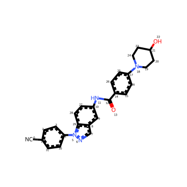 N#Cc1ccc(-n2ncc3cc(NC(=O)c4ccc(N5CCC(O)CC5)cc4)ccc32)cc1